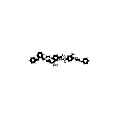 Cl.O=C(NS(=O)(=O)c1ccc(NCCSc2ccccc2)c([N+](=O)[O-])c1)c1ccc2c(c1)CC[C@@H]1CN(Cc3ccccc3Cc3ccccc3)CCN21